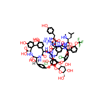 CN[C@@H](CC(C)C)C(=O)N[C@H]1C(=O)N[C@@H](CC(N)=O)C(=O)NC2C(=O)N[C@@H]3C(=O)N[C@@H](C(=O)N[C@@H](C(=O)O)c4cc(O)cc(O)c4-c4cc3ccc4O)[C@H](O)c3ccc(c(Cl)c3)Oc3cc2cc(c3OC2O[C@@H](CO)[C@@H](O)[C@@H](O)[C@H]2O[C@H]2CC(C)(NCc3cc(NC(=O)c4cccc(OC(F)(F)F)c4)cc(NC(=O)C(N)Cc4ccc(O)cc4)c3)[C@@H](O)[C@@H](C)O2)Oc2ccc(cc2Cl)[C@H]1O